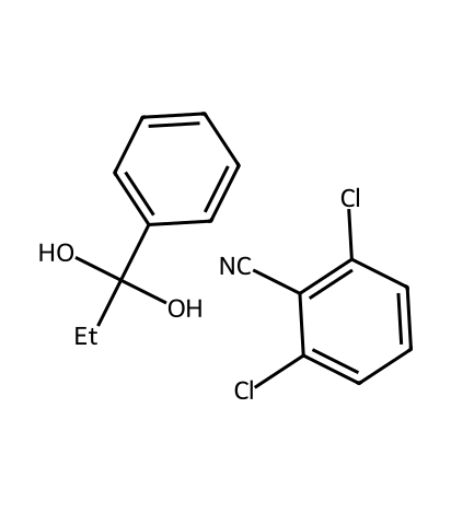 CCC(O)(O)c1ccccc1.N#Cc1c(Cl)cccc1Cl